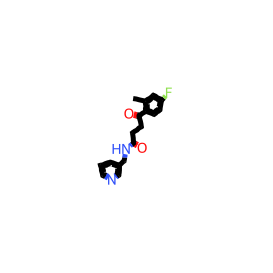 Cc1cc(F)ccc1C(=O)CCC(=O)NCc1cccnc1